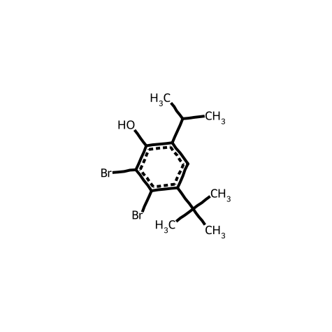 CC(C)c1cc(C(C)(C)C)c(Br)c(Br)c1O